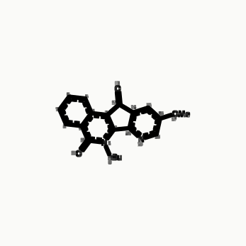 CCCCn1c2c(c3ccccc3c1=O)C(=O)c1cc(OC)cnc1-2